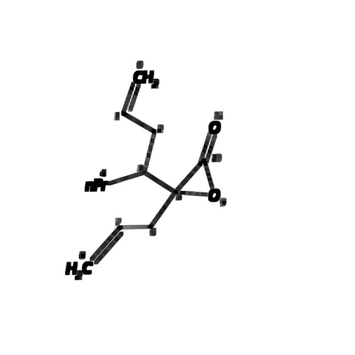 C=CCC(CCC)C1(CC=C)OC1=O